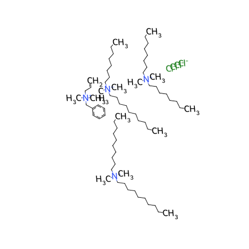 C=CC[N+](C)(C)Cc1ccccc1.CCCCCCCCCC[N+](C)(C)CCCCCCCC.CCCCCCCCCC[N+](C)(C)CCCCCCCCCC.CCCCCCCC[N+](C)(C)CCCCCCCC.[Cl-].[Cl-].[Cl-].[Cl-]